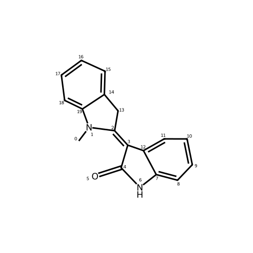 CN1C(=C2C(=O)Nc3ccccc32)Cc2ccccc21